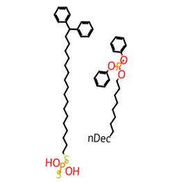 CCCCCCCCCCCCCCCCCCOP(Oc1ccccc1)Oc1ccccc1.OP(O)(=S)SCCCCCCCCCCCCCCCCCC(c1ccccc1)c1ccccc1